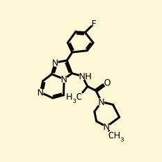 CC(Nc1c(-c2ccc(F)cc2)nc2cnccn12)C(=O)N1CCN(C)CC1